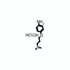 CN(C)CCCOc1ccc(N)cc1.Cl.Cl